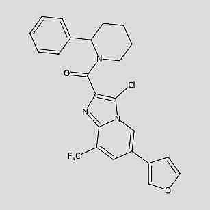 O=C(c1nc2c(C(F)(F)F)cc(-c3ccoc3)cn2c1Cl)N1CCCCC1c1ccccc1